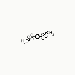 C=CC(=O)OC(=O)C1CCC(C(=O)OC(=O)C=C)CC1